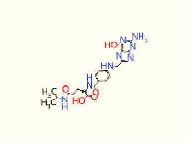 CC(C)NC(=O)CC[C@@H](NC(=O)c1ccc(NCc2cnc3nc(N)nc(O)c3n2)cc1)C(=O)O